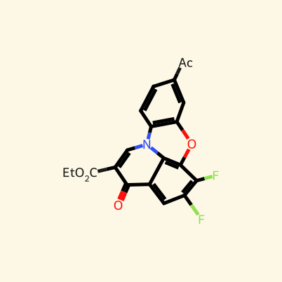 CCOC(=O)c1cn2c3c(c(F)c(F)cc3c1=O)Oc1cc(C(C)=O)ccc1-2